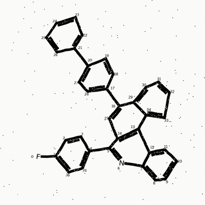 Fc1ccc(-c2nc3ccccc3c3c2cc(-c2ccc(-c4ccccc4)cc2)c2ccccc23)cc1